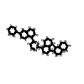 c1ccc(-c2ccc3c(-c4ccnc(-c5ccc6c7c(cccc57)-c5c-6ccc6ccccc56)n4)cccc3c2)cc1